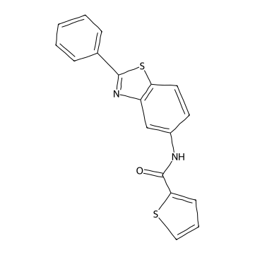 O=C(Nc1ccc2sc(-c3ccccc3)nc2c1)c1cccs1